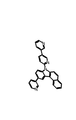 c1cncc(-c2ccc(-n3c4ccc(-c5cccnc5)cc4c4c5ccccc5ccc43)nc2)c1